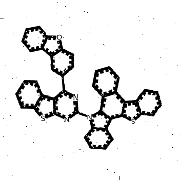 c1ccc2c(c1)oc1ccc(-c3nc(-n4c5ccccc5c5c6sc7ccccc7c6c6ccccc6c54)nc4sc5ccccc5c34)cc12